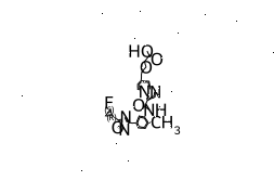 Cc1ccc(-c2noc([C@H]3C[C@@H]3F)n2)cc1NC(=O)c1cnc2cc(COCC(=O)O)ccn12